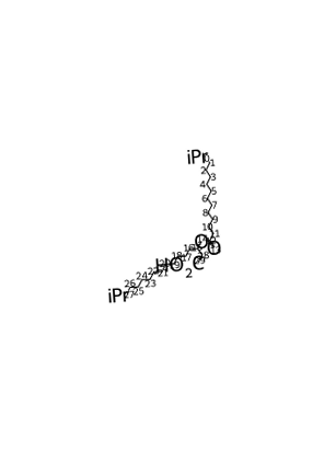 CC(C)CCCCCCCCCCCC(=O)OC(CCCCCCCCCCCC(C)C)CC(=O)O